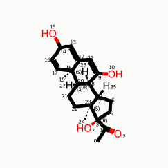 CC(=O)[C@@]1(O)CC[C@H]2[C@@H]3C(O)=CC4=CC(O)C=C[C@]4(C)[C@H]3CC[C@@]21C